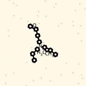 CC1(C)c2cc(-c3ccccc3)ccc2-c2ccc(N(c3ccc(-c4ccc(-c5ccc6oc7ccccc7c6c5)cc4)cc3)c3ccc(-c4cccc(-c5ccccc5)c4)cc3)cc21